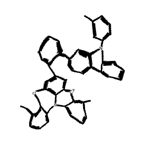 Cc1cccc(-n2c3ccccc3c3ccc(-c4ccccc4-c4cc5c6c(c4)Oc4c(C)cccc4B6c4cccc(C)c4O5)cc32)c1